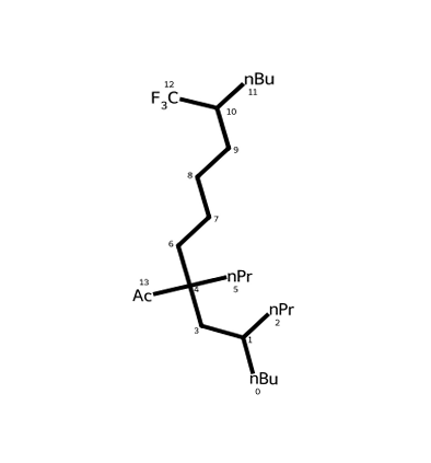 CCCCC(CCC)CC(CCC)(CCCCC(CCCC)C(F)(F)F)C(C)=O